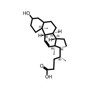 C[C@H](CCC(=O)O)[C@H]1CC[C@H]2[C@@H]3CCC4CC(O)CC[C@]4(C)[C@H]3C=C[C@]12C